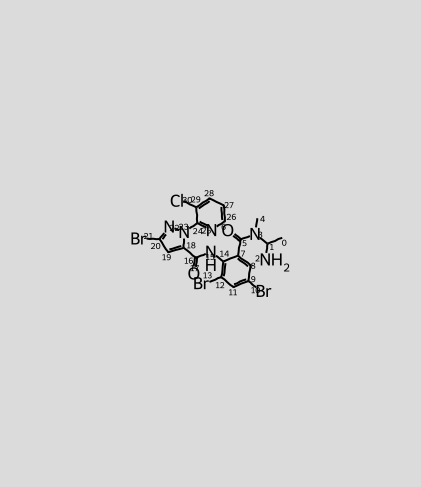 CC(N)N(C)C(=O)c1cc(Br)cc(Br)c1NC(=O)c1cc(Br)nn1-c1ncccc1Cl